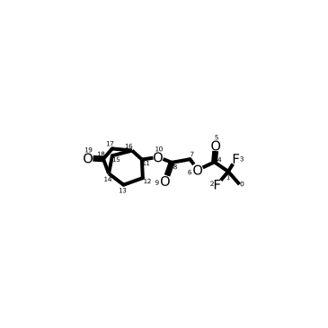 CC(F)(F)C(=O)OCC(=O)OC1CCC2CC1CC2=O